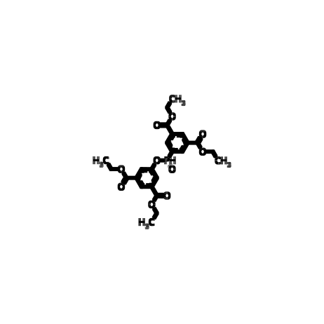 CCOC(=O)c1cc(O[PH](=O)c2cc(C(=O)OCC)cc(C(=O)OCC)c2)cc(C(=O)OCC)c1